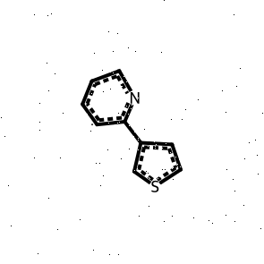 [c]1cccnc1-c1ccsc1